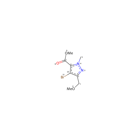 COCc1nn(C)c(C(=O)OC)c1Br